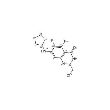 O=c1[nH]c(CCl)nc2cc(NC3CCCC3)c(F)c(F)c12